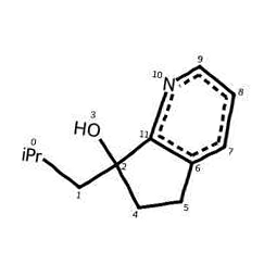 CC(C)CC1(O)CCc2cccnc21